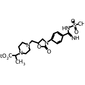 CCOC(=O)C(C)N1CCN(CC2CN(c3ccc(C(=N)NS(C)(=O)=O)cc3)C(=O)O2)CC1